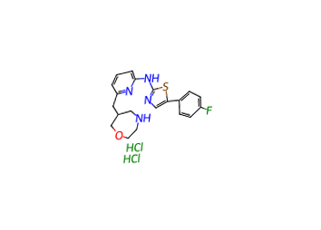 Cl.Cl.Fc1ccc(-c2cnc(Nc3cccc(CC4CNCCOC4)n3)s2)cc1